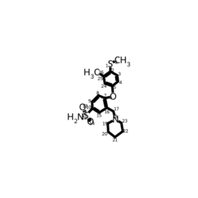 CSc1ccc(Oc2ccc(S(N)(=O)=O)cc2CN2CCCCC2)cc1C